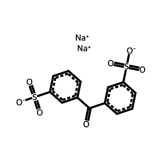 O=C(c1cccc(S(=O)(=O)[O-])c1)c1cccc(S(=O)(=O)[O-])c1.[Na+].[Na+]